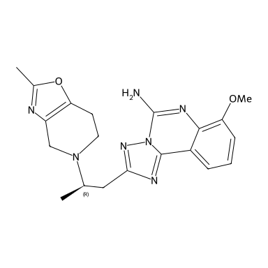 COc1cccc2c1nc(N)n1nc(C[C@@H](C)N3CCc4oc(C)nc4C3)nc21